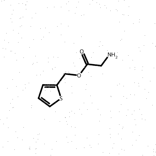 NCC(=O)O[CH]c1cccs1